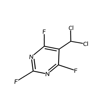 Fc1nc(F)c(C(Cl)Cl)c(F)n1